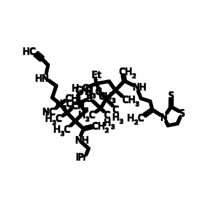 C#CCNCCC(C)(C#N)C(C)(C)C(C)(CC(C)(C)BC(C)(C)C(C)(C)C(C)(CC(C)(C)CC)C(=C)NCCC(=C)N1CCSC1=S)C(=C)NCC(C)C